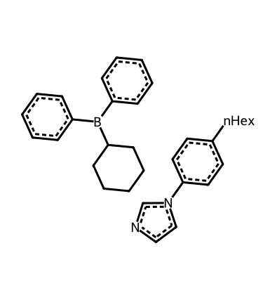 CCCCCCc1ccc(-n2ccnc2)cc1.c1ccc(B(c2ccccc2)C2CCCCC2)cc1